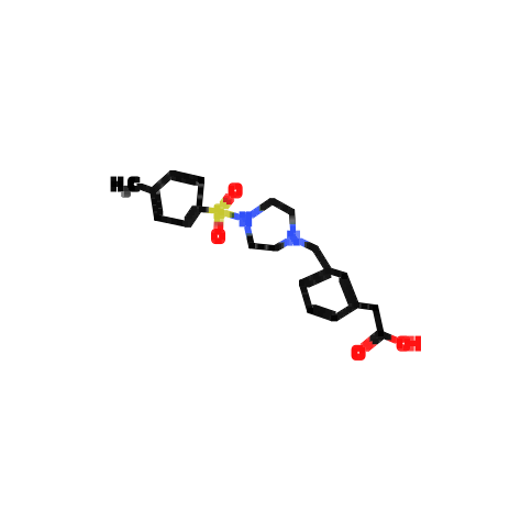 Cc1ccc(S(=O)(=O)N2CCN(Cc3cccc(CC(=O)O)c3)CC2)cc1